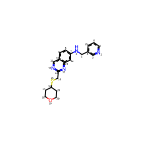 c1cncc(CNc2ccc3cnc(CSC4CCOCC4)nc3c2)c1